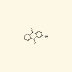 O=C1c2ccccc2C(=O)c2cc(S)ccc21